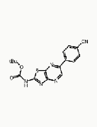 CC(C)(C)OC(=O)Nc1nc2ncc(-c3ccc(C#N)cc3)nc2s1